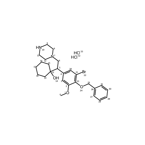 COc1cc(C(CN2CCNCC2)C2(O)CCCCC2)cc(Br)c1OCc1ccccc1.Cl.Cl